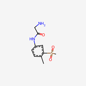 Cc1ccc(NC(=O)CN)cc1S(C)(=O)=O